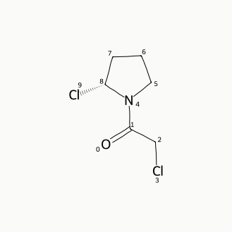 O=C(CCl)N1CCC[C@H]1Cl